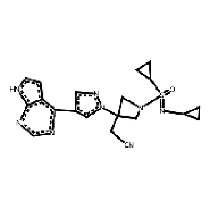 N#CCC1(n2cc(-c3ncnc4[nH]ccc34)cn2)CN(S(=O)(=NC2CC2)C2CC2)C1